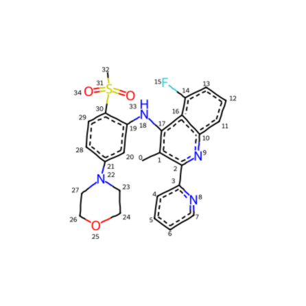 Cc1c(-c2ccccn2)nc2cccc(F)c2c1Nc1cc(N2CCOCC2)ccc1S(C)(=O)=O